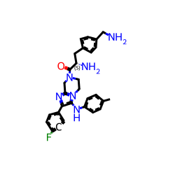 Cc1ccc(Nc2c(-c3ccc(F)cc3)nc3n2CCN(C(=O)[C@@H](N)Cc2ccc(CN)cc2)C3)cc1